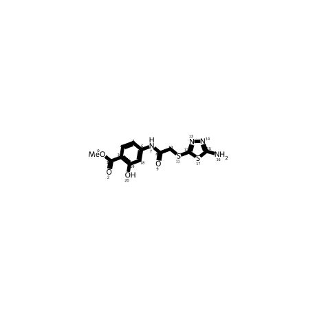 COC(=O)c1ccc(NC(=O)CSc2nnc(N)s2)cc1O